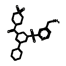 NCc1ccnc(S(=O)(=O)N2CC(C(=O)N3CCS(=O)(=O)CC3)CC(C3CCCCC3)C2)c1